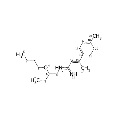 CCCCOC(CC)CNC(=N)/C=C(\C)C1=CC=C(C)CC1